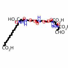 O=CCC[C@H](NC(=O)CC[C@H](NC(=O)COCCOCCNC(=O)COCCOCCNC(=O)CC[C@H](NC(=O)CCCCCCCCCCCCCCCCCCC(=O)O)C(=O)O)C(=O)O)C(=O)O